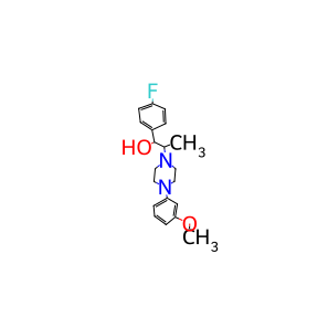 COc1cccc(N2CCN(C(C)C(O)c3ccc(F)cc3)CC2)c1